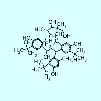 CC(C)C(O)C(C)(C)CO.Cc1cc(O)c(C(C)(C)C)cc1C(C)CC(c1cc(C(C)(C)C)c(O)cc1C)c1cc(C(C)(C)C)c(O)cc1C